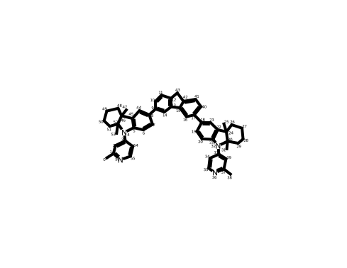 Cc1cc(N2c3ccc(-c4ccc5c(c4)-c4cc(-c6ccc7c(c6)C6(C)CCCCC6(C)N7c6ccnc(C)c6)ccc4C5)cc3C3(C)CCCCC23C)ccn1